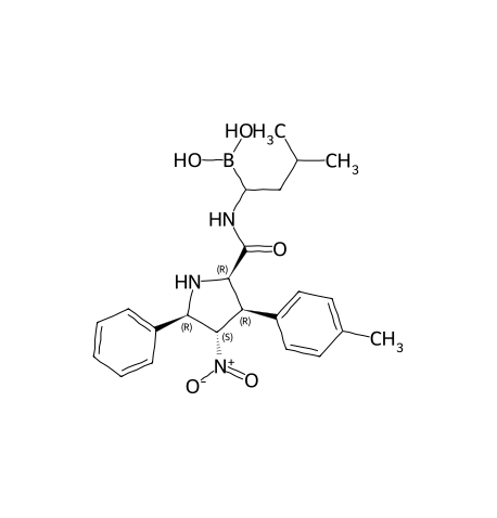 Cc1ccc([C@H]2[C@H]([N+](=O)[O-])[C@@H](c3ccccc3)N[C@H]2C(=O)NC(CC(C)C)B(O)O)cc1